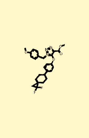 COC(=O)c1nnn(Cc2ccc(OC)cc2)c1Oc1ccc(C2CCC3(CC2)CC3(F)F)cc1